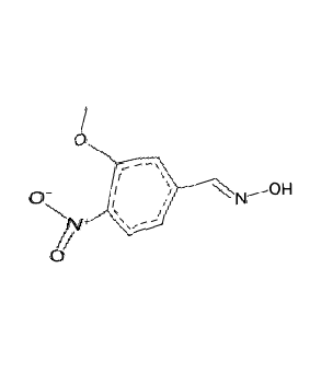 COc1cc(C=NO)ccc1[N+](=O)[O-]